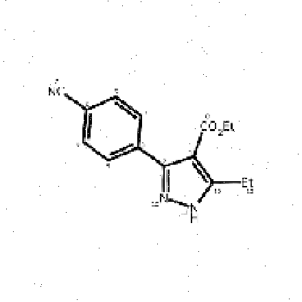 CCOC(=O)c1c(-c2ccc(C#N)cc2)n[nH]c1CC